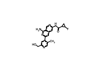 Cc1cnc(CO)cc1-c1cc2cc(NC(=O)C3CC3F)ncc2c(N)n1